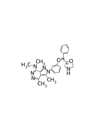 Cc1nnc(N(C)C)c2nn(-c3cccc(O[C@H](c4ccccc4)[C@H]4CNCCO4)c3)c(C)c12